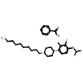 CCCCCCCCCC[C@H]1CC[C@H](c2ccc(SC(F)F)c(F)c2F)CC1.O=C(O)c1ccccc1